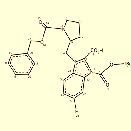 CC(C)(C)OC(=O)n1c(C(=O)O)c(CC2CCCN2C(=O)OCc2ccccc2)c2ccc(F)cc21